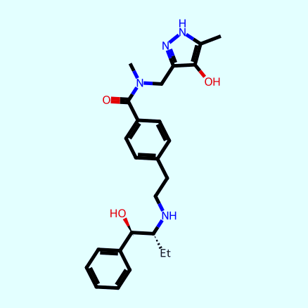 CC[C@@H](NCCc1ccc(C(=O)N(C)Cc2n[nH]c(C)c2O)cc1)[C@H](O)c1ccccc1